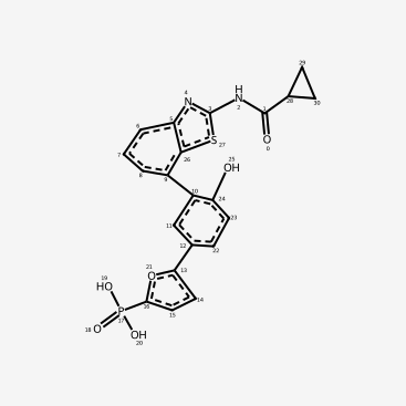 O=C(Nc1nc2cccc(-c3cc(-c4ccc(P(=O)(O)O)o4)ccc3O)c2s1)C1CC1